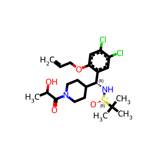 C=CCOc1cc(Cl)c(Cl)cc1[C@H](N[S@@+]([O-])C(C)(C)C)C1CCN(C(=O)C(C)O)CC1